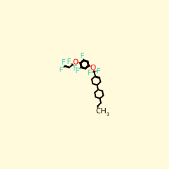 CCCC1CCC(C2CC=C(C(F)(F)Oc3cc(F)c(OC(F)(F)C=C(F)F)c(F)c3)CC2)CC1